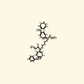 CC(C)CC(C)N(CCCCCN(C1=CCC=C(Nc2ccccc2)C=C1)C(C)CC(C)C)C1=CCC=C(NC2=CCCCC=C2)C=C1